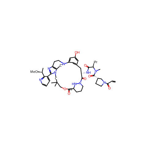 C=CC(=O)N1CC[C@H](C(=O)N(C)C(C(=O)N[C@H]2Cc3cc(O)cc(c3)N3CCc4nc(-c5cccnc5[C@H](C)OC)n(c4C3)CC(C)(C)COC(=O)[C@@H]3CCCN(N3)C2=O)C(C)C)C1